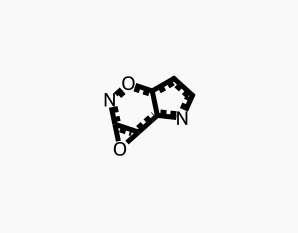 c1cc2onc3c(c-2n1)O3